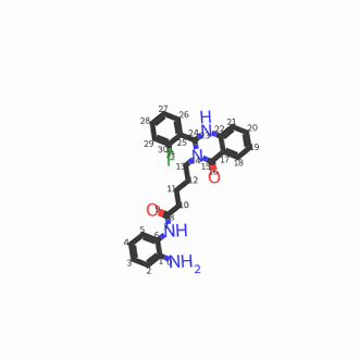 Nc1ccccc1NC(=O)CCCCN1C(=O)c2ccccc2NC1c1ccccc1F